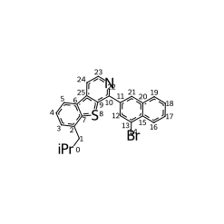 CC(C)Cc1cccc2c1sc1c(-c3cc(Br)c4ccccc4c3)nccc12